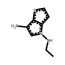 CCNn1cc(N)c2sccc21